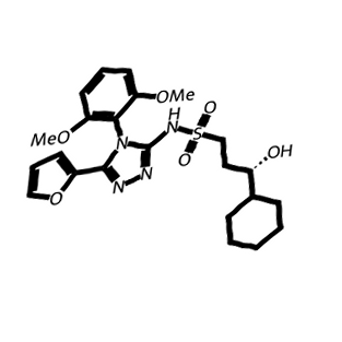 COc1cccc(OC)c1-n1c(NS(=O)(=O)CC[C@H](O)C2CCCCC2)nnc1-c1ccco1